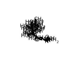 CC[C@@H](O)[C@@H](O)[C@H](O)[C@H](NC(=O)C(CC(=O)O)NC(=O)[C@@H](NC(C)[C@H]([C@H](O)[C@@H](O)[C@@H](O)CO)N(N)C(=O)[C@@H](NC(=O)CC[C@H](NC(=O)c1ccc(NCc2cnc3nc(N)[nH]c(=O)c3n2)cc1)C(=O)O)[C@@H](O)[C@H](O)[C@H](O)CO)[C@@H](O)[C@H](O)[C@H](O)CO)C(=O)N(N)[C@H](CS)C(=O)O